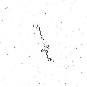 CCCCCCCCCCCC([O])C(=O)OCCCC